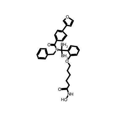 BC(B)(c1ccccc1OCCCCCC(=O)NO)N(Cc1ccccc1)C(=O)c1ccc(-c2ccoc2)cc1